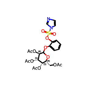 CC(=O)OC[C@H]1OC(Oc2ccccc2OS(=O)(=O)n2ccnc2)[C@H](OC(C)=O)[C@@H](OC(C)=O)[C@H]1OC(C)=O